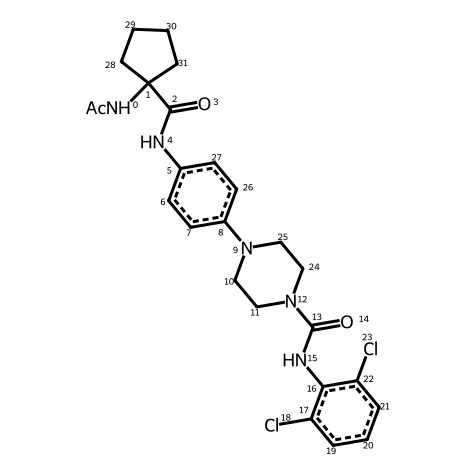 CC(=O)NC1(C(=O)Nc2ccc(N3CCN(C(=O)Nc4c(Cl)cccc4Cl)CC3)cc2)CCCC1